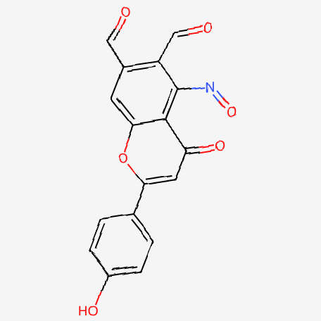 O=Cc1cc2oc(-c3ccc(O)cc3)cc(=O)c2c(N=O)c1C=O